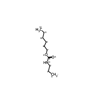 [CH2]CCNC(=O)OCCCCCC